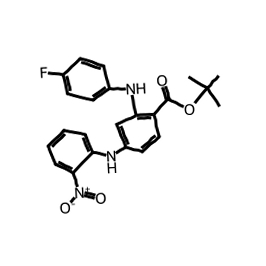 CC(C)(C)OC(=O)c1ccc(Nc2ccccc2[N+](=O)[O-])cc1Nc1ccc(F)cc1